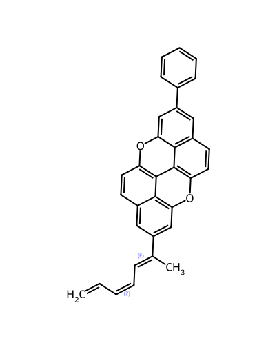 C=C/C=C\C=C(/C)c1cc2ccc3oc4cc(-c5ccccc5)cc5ccc6oc(c1)c2c3-c6c54